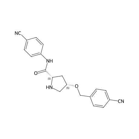 N#Cc1ccc(CO[C@@H]2CN[C@H](C(=O)Nc3ccc(C#N)cc3)C2)cc1